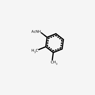 [CH2]C(=O)Nc1cccc(C)c1C